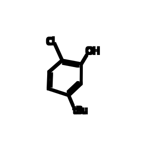 CC(C)(C)c1ccc(Cl)c(O)c1